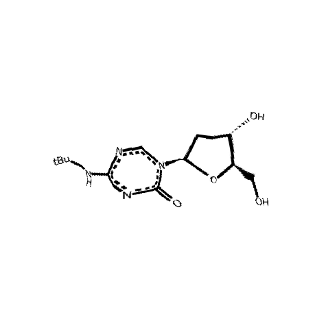 CC(C)(C)Nc1ncn([C@H]2C[C@H](O)[C@@H](CO)O2)c(=O)n1